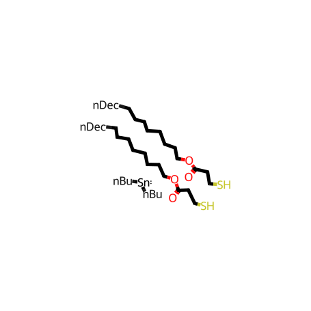 CCCCCCCCCCCCCCCCCCOC(=O)CCS.CCCCCCCCCCCCCCCCCCOC(=O)CCS.CCC[CH2][Sn][CH2]CCC